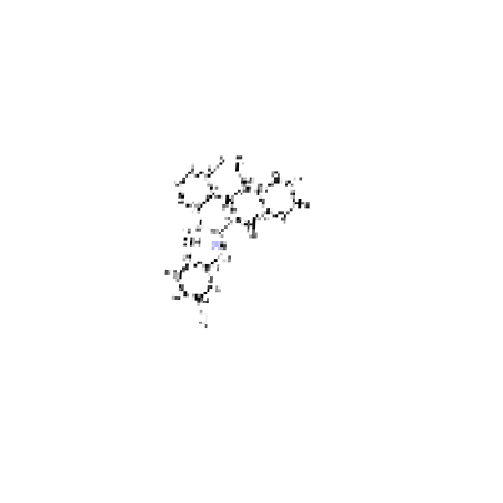 Cc1cccc(C)c1-n1c(/C=C/c2cc(Cl)cnc2O)nc2cnccc2c1=O